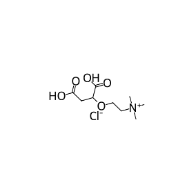 C[N+](C)(C)CCOC(CC(=O)O)C(=O)O.[Cl-]